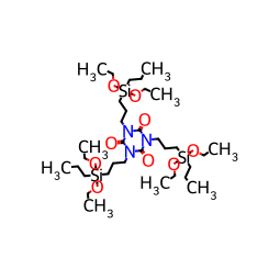 CCC[Si](CCCn1c(=O)n(CCC[Si](CCC)(OCC)OCC)c(=O)n(CCC[Si](CCC)(OCC)OCC)c1=O)(OCC)OCC